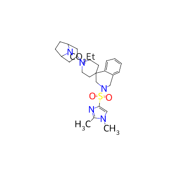 CCOC(=O)N1C2CCC1CC(N1CCC3(CC1)CN(S(=O)(=O)c1cn(C)c(C)n1)Cc1ccccc13)C2